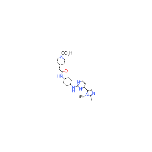 Cc1ncc(-c2ccnc(N[C@H]3CC[C@H](NC(=O)CC4CCN(C(=O)O)CC4)CC3)n2)n1C(C)C